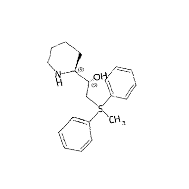 CS(C[C@@H](O)[C@@H]1CCCCN1)(c1ccccc1)c1ccccc1